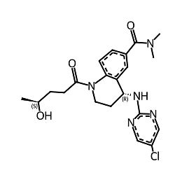 C[C@H](O)CCC(=O)N1CC[C@@H](Nc2ncc(Cl)cn2)c2cc(C(=O)N(C)C)ccc21